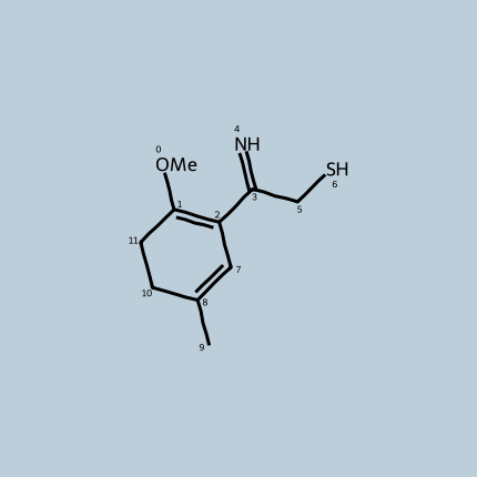 COC1=C(C(=N)CS)C=C(C)CC1